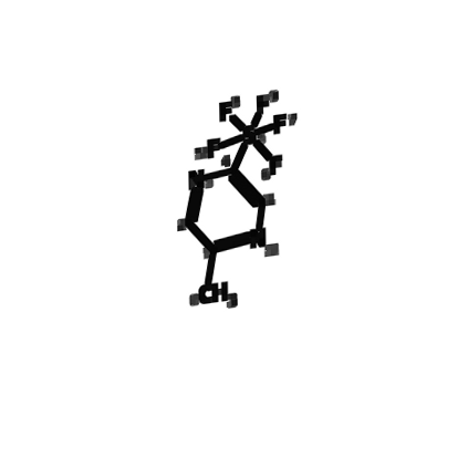 Cc1cnc(S(F)(F)(F)(F)F)cn1